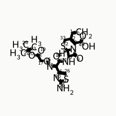 C=CC1=C(C(=O)O)N2C(=O)[C@@H](NC(=O)/C(=N\OCC(=O)OC(C)(C)C)c3csc(N)n3)[C@H]2SC1